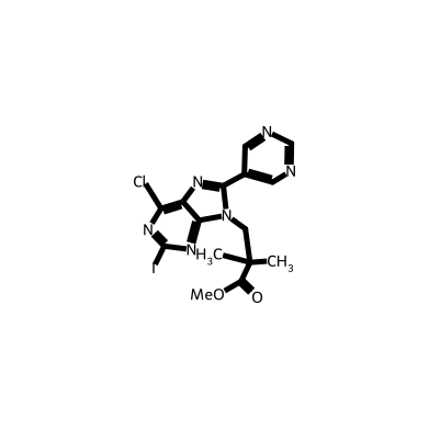 COC(=O)C(C)(C)Cn1c(-c2cncnc2)nc2c(Cl)nc(I)nc21